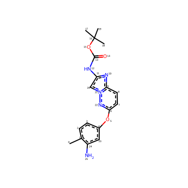 Cc1ccc(Oc2ccc3nc(NC(=O)OC(C)(C)C)cn3n2)cc1N